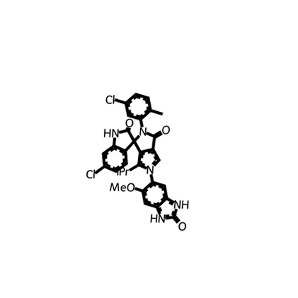 COc1cc2[nH]c(=O)[nH]c2cc1-n1cc2c(c1C(C)C)C1(C(=O)Nc3cc(Cl)ccc31)N(c1cc(Cl)ccc1C)C2=O